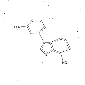 O=[N+]([O-])c1cccc(-n2cnc3c([N+](=O)[O-])cccc32)c1